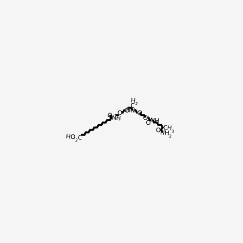 C=C(COCCOCCNC(=O)CCCCCCCCCCCCCCC(=O)O)NCCOCCOCC(=O)NCCCC[C@H](C)C(N)=O